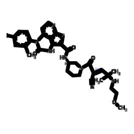 COCCNC(C)(C)/C=C(\C#N)C(=O)N1CCC[C@@H](NC(=O)c2sc3nccc4c3c2NC(=O)N4c2ccc(I)cc2C)C1